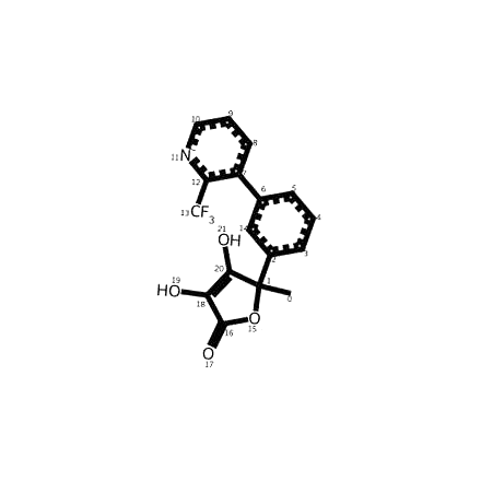 CC1(c2cccc(-c3cccnc3C(F)(F)F)c2)OC(=O)C(O)=C1O